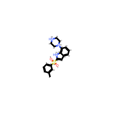 Cc1cccc(S(=O)(=O)c2cc3cccc(N4CCNCC4)c3[nH]2)c1